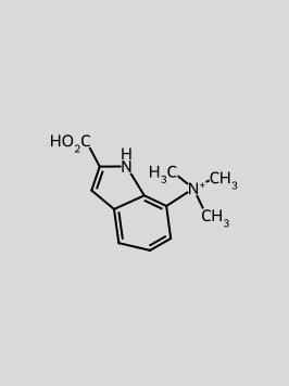 C[N+](C)(C)c1cccc2cc(C(=O)O)[nH]c12